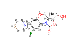 O=C1O[C@@H](CO)[C@@H]2COc3cc(N4C5CCC4CSC5)c(F)cc3N12